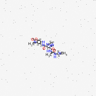 C[C@H](NC(=O)c1cc(C(=O)NCc2ccc3oc(=O)n(C)c3c2)nc2ccnn12)C(=O)NC1CN(C)C1